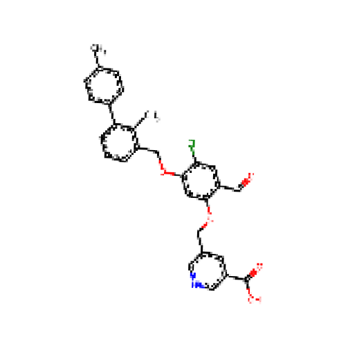 Cc1ccc(-c2cccc(COc3cc(OCc4cncc(C(=O)O)c4)c(C=O)cc3Cl)c2C)cc1